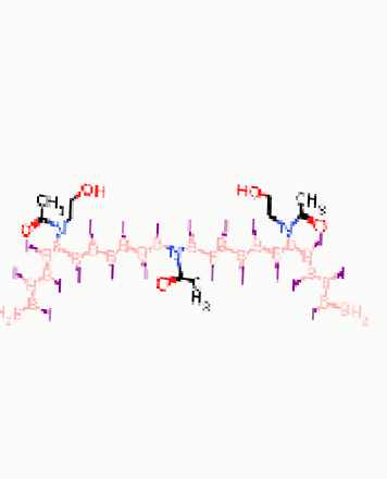 BB(I)B(I)B(I)B(I)B(B(I)B(I)B(I)B(I)B(I)B(I)N(B(I)B(I)B(I)B(I)B(I)B(I)B(B(I)B(I)B(I)B(B)I)N(CCO)C(C)=O)C(C)=O)N(CCO)C(C)=O